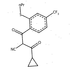 CCCSc1cc(C(F)(F)F)ccc1C(=O)C(C#N)C(=O)C1CC1